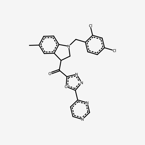 Cc1ccc2c(c1)C(C(=O)c1nnc(-c3ccncn3)o1)CN2Cc1ccc(Cl)cc1Cl